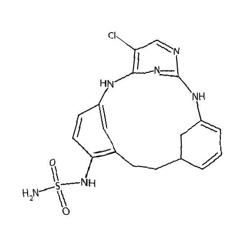 NS(=O)(=O)Nc1ccc2cc1CCC1C=CC=C(C1)Nc1ncc(Cl)c(n1)N2